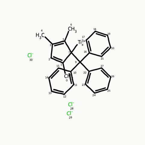 CC1=CC(C)=C(C)[C]1([Ti+3])C(c1ccccc1)(c1ccccc1)c1ccccc1.[Cl-].[Cl-].[Cl-]